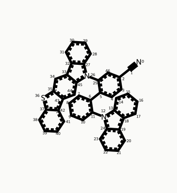 N#Cc1ccc(-c2ccccc2-n2c3ccccc3c3ccccc32)c(-n2c3ccccc3c3cc4sc5ccccc5c4cc32)c1